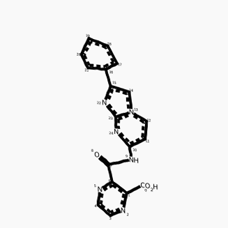 O=C(O)c1nccnc1C(=O)Nc1ccn2cc(-c3ccccc3)nc2n1